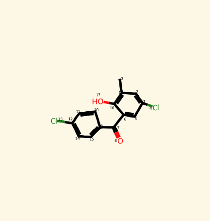 Cc1cc(Cl)cc(C(=O)c2ccc(Cl)cc2)c1O